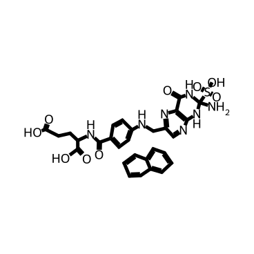 NC1(S(=O)(=O)O)NC(=O)c2nc(CNc3ccc(C(=O)NC(CCC(=O)O)C(=O)O)cc3)cnc2N1.c1ccc2ccccc2c1